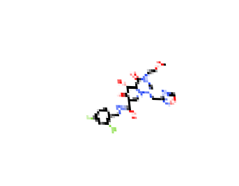 COCCN1CN(Cc2ncon2)n2cc(C(=O)NCc3ccc(F)cc3F)c(=O)c(O)c2C1=O